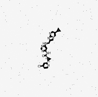 O=C(Nc1cc(NCc2cn3cc(C4CC4)cnc3n2)ncn1)[C@H]1C[C@@H]1c1cc(Cl)ccn1